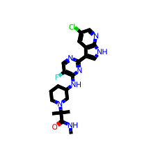 CNC(=O)C(C)(C)N1CCCC(Nc2nc(-c3c[nH]c4ncc(Cl)cc34)ncc2F)C1